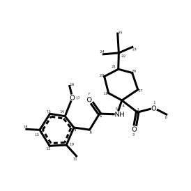 COC(=O)C1(NC(=O)Cc2c(C)cc(C)cc2OC)CCC(C(C)(C)C)CC1